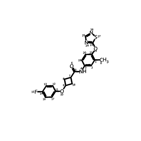 Cc1cc(NC(=O)C2CC(Oc3ccc(F)cc3)C2)ccc1Oc1ncns1